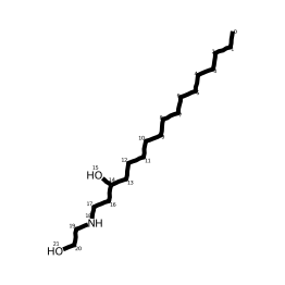 CCCCCCCCCCCCCCC(O)CCNCCO